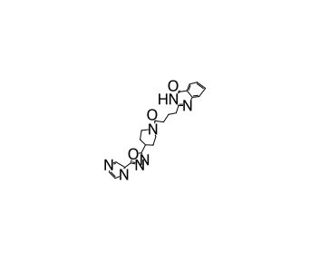 O=C(CCCc1nc2ccccc2c(=O)[nH]1)N1CCC(c2nnc(-c3cnccn3)o2)CC1